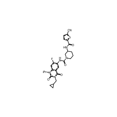 CC(C)n1c(=O)n(CC2CC2)c(=O)c2cc(NC(=O)N3CCCC(NC(=O)c4ccc(C#N)s4)C3)c(F)cc21